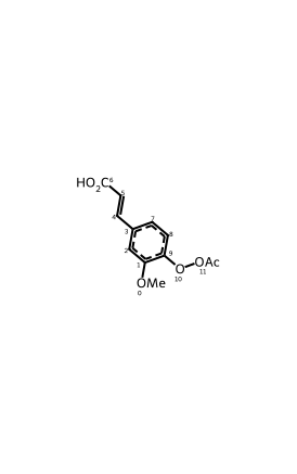 COc1cc(C=CC(=O)O)ccc1OOC(C)=O